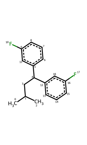 CC(C)CC(c1cccc(F)c1)c1cccc(F)c1